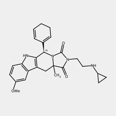 COc1ccc2[nH]c3c(c2c1)CC1(C)C(=O)N(CCNC2CC2)C(=O)N1[C@@H]3C1=CCCC=C1